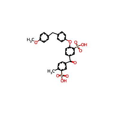 COc1ccc(Cc2ccc(Oc3ccc(C(=O)c4ccc(C)c(S(=O)(=O)O)c4)cc3S(=O)(=O)O)cc2)cc1